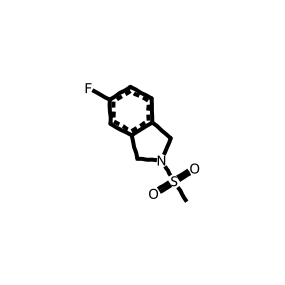 CS(=O)(=O)N1Cc2ccc(F)cc2C1